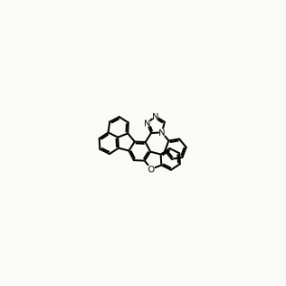 c1ccc(-n2cnnc2-c2c3c(cc4oc5ccccc5c24)-c2cccc4cccc-3c24)cc1